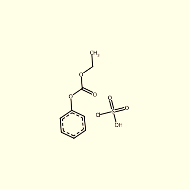 CCOC(=O)Oc1ccccc1.O=S(=O)(O)Cl